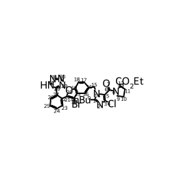 CCCCc1nc(Cl)c(C(=O)N2CCC[C@H]2C(=O)OCC)n1Cc1ccc2oc(-c3ccccc3-c3nnn[nH]3)c(Br)c2c1